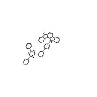 c1ccc(-c2nc(-c3ccccc3)nc(-c3cccc(-c4ccc(-n5c6ccccc6c6ccc7sc8ccccc8c7c65)cc4)c3)n2)cc1